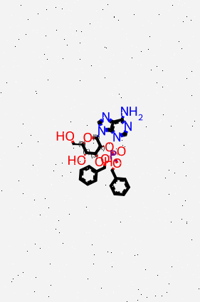 Nc1ncnc2c1ncn2[C@@H]1O[C@H](CO)[C@@H](O)[C@H](O)[C@H]1OP(=O)(OCc1ccccc1)OCc1ccccc1